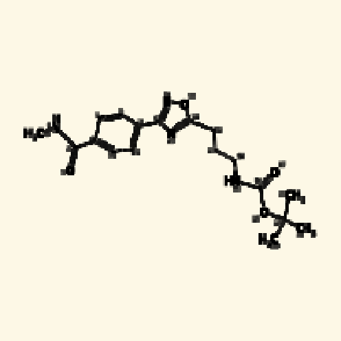 CNC(=O)c1ccc(-c2noc(CCCNC(=O)OC(C)(C)C)n2)cc1